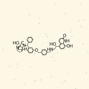 O=C(O)N([C@@H](c1ccccc1)c1cccc(OCc2ccc(CNC[C@H](O)c3ccc(O)c4[nH]c(=O)ccc34)cc2)c1)[C@H]1CN2CCC1CC2